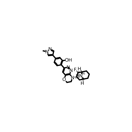 Cn1cc(-c2ccc(-c3cc4c(nn3)N([C@H]3C[C@@H]5CCC[C@@H](N5)[C@H]3F)CCO4)c(O)c2)cn1